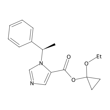 CCOC1(OC(=O)c2cncn2[C@H](C)c2ccccc2)CC1